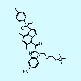 Cc1ccc(S(=O)(=O)n2ccc3c(C(=O)c4nc5cc(C#N)ccc5n4COCC[Si](C)(C)C)c(C)cc(C)c32)cc1